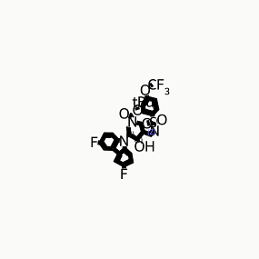 CC(C)(C)OC(=O)N1CC(/C=N\S(=O)(=O)c2ccc(OC(F)(F)F)cc2)[C@H](O)[C@@H](n2c3ccc(F)cc3c3cc(F)ccc32)C1